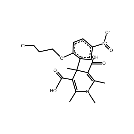 CC1=C(C(=O)O)C(C)(c2cc([N+](=O)[O-])ccc2OCCCCl)C(C(=O)O)=C(C)N1C